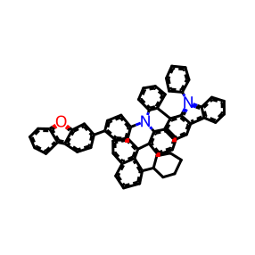 c1ccc(-n2c3ccccc3c3cccc(-c4ccccc4N(c4ccc(-c5ccc6c(c5)oc5ccccc56)cc4)c4ccccc4-c4cccc5cccc(C6CCCCC6)c45)c32)cc1